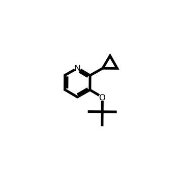 CC(C)(C)Oc1cccnc1C1CC1